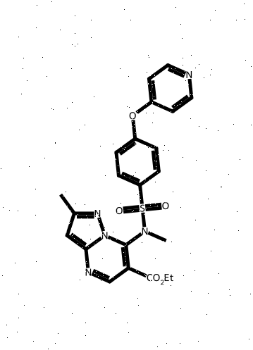 CCOC(=O)c1cnc2cc(C)nn2c1N(C)S(=O)(=O)c1ccc(Oc2ccncc2)cc1